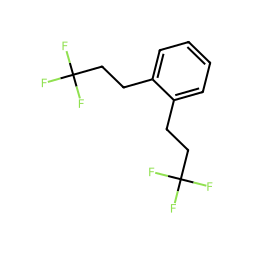 FC(F)(F)CCc1ccccc1CCC(F)(F)F